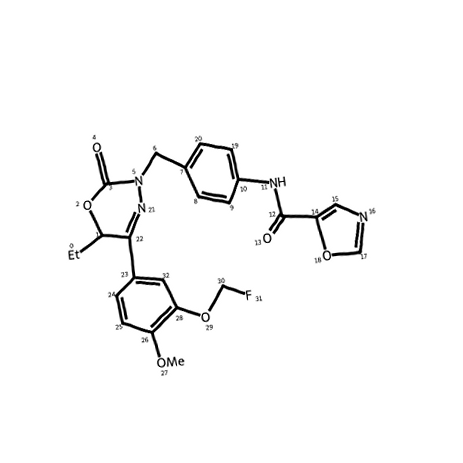 CCC1OC(=O)N(Cc2ccc(NC(=O)c3cnco3)cc2)N=C1c1ccc(OC)c(OCF)c1